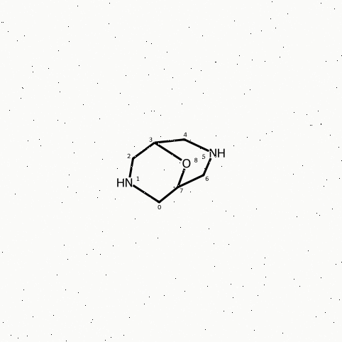 C1NCC2CNC[C]1O2